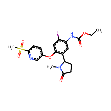 CCOC(=O)Nc1cc(C2CCC(=O)N2C)c(Oc2ccc(S(C)(=O)=O)nc2)cc1I